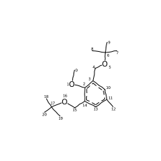 COc1c(COC(C)(C)C)cc(C)cc1COC(C)(C)C